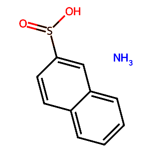 N.O=S(O)c1ccc2ccccc2c1